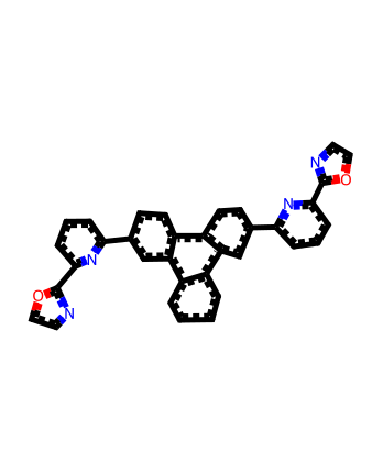 c1cc(-c2ccc3c4ccc(-c5cccc(-c6ncco6)n5)cc4c4ccccc4c3c2)nc(-c2ncco2)c1